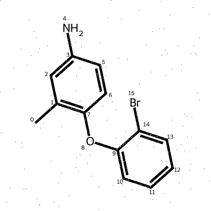 Cc1cc(N)ccc1Oc1ccccc1Br